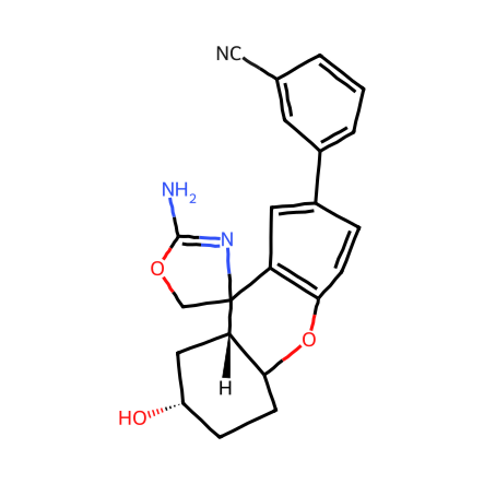 N#Cc1cccc(-c2ccc3c(c2)C2(COC(N)=N2)[C@H]2C[C@@H](O)CCC2O3)c1